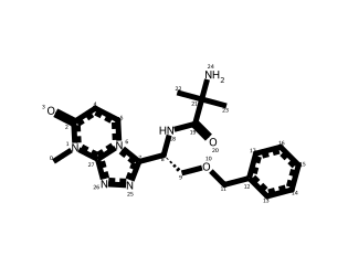 Cn1c(=O)ccn2c([C@@H](COCc3ccccc3)NC(=O)C(C)(C)N)nnc12